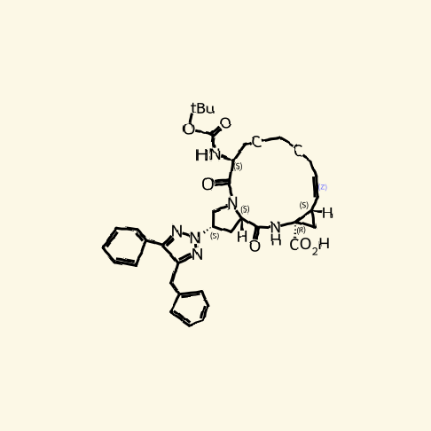 CC(C)(C)OC(=O)N[C@H]1CCCCC/C=C\[C@@H]2C[C@@]2(C(=O)O)NC(=O)[C@@H]2C[C@H](n3nc(Cc4ccccc4)c(-c4ccccc4)n3)CN2C1=O